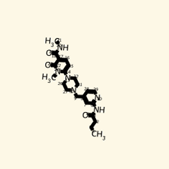 CCCC(=O)Nc1cc(CN2CCN(c3ccc(C(=O)NC)c(=O)n3C)CC2)ccn1